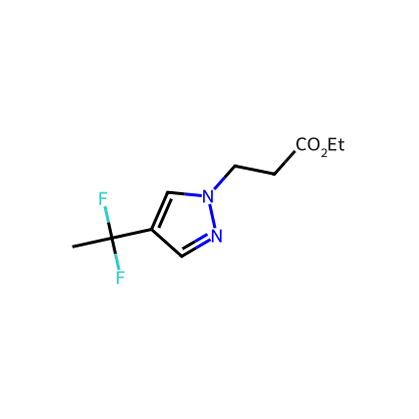 CCOC(=O)CCn1cc(C(C)(F)F)cn1